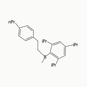 CCCc1ccc(CCB(C)c2c(C(C)C)cc(C(C)C)cc2C(C)C)cc1